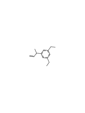 C=C[C](C)c1cc(CC)cc(CC)c1